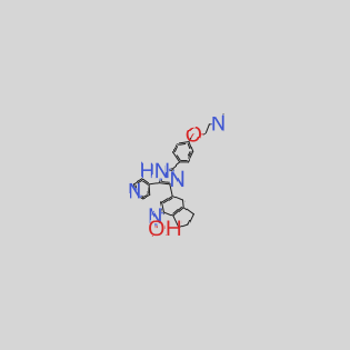 CN(C)CCOc1ccc(-c2nc(C3=C/C(=N/O)C4=C(CCC4)C3)c(-c3ccncc3)[nH]2)cc1